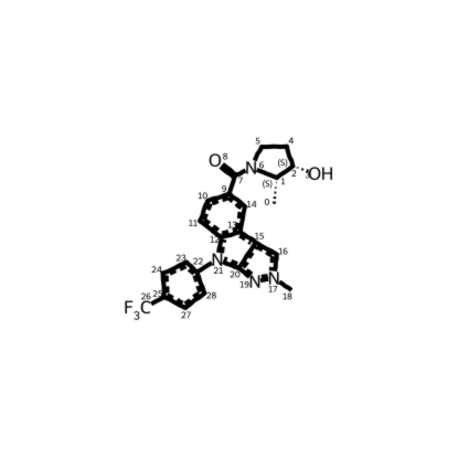 C[C@H]1[C@@H](O)CCN1C(=O)c1ccc2c(c1)c1cn(C)nc1n2-c1ccc(C(F)(F)F)cc1